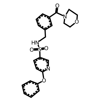 O=C(c1cccc(CNS(=O)(=O)c2ccc(Oc3ccccc3)nc2)c1)N1CCOCC1